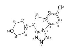 Clc1ccc(-n2nnnc2CN2CCOCC2)c(Cl)c1